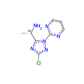 C[C@H](N)c1nc(Cl)nn1-c1ncccn1